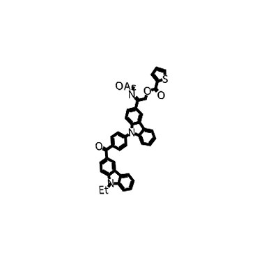 CCn1c2ccccc2c2cc(C(=O)c3ccc(-n4c5ccccc5c5cc(C(COC(=O)c6cccs6)=NOC(C)=O)ccc54)cc3)ccc21